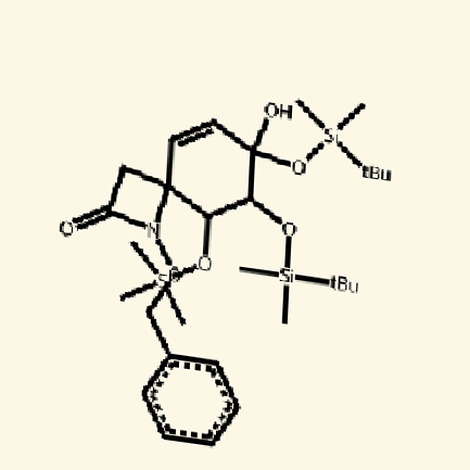 CC(C)(C)[Si](C)(C)OC1C(O[Si](C)(C)C)C2(C=CC1(O)O[Si](C)(C)C(C)(C)C)CC(=O)N2OCc1ccccc1